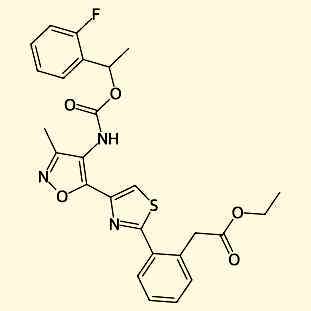 CCOC(=O)Cc1ccccc1-c1nc(-c2onc(C)c2NC(=O)OC(C)c2ccccc2F)cs1